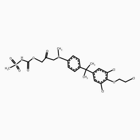 CN(CC(=O)COC(=O)NS(C)(=O)=O)c1ccc(C(C)(C)c2cc(Cl)c(OCCCl)c(Cl)c2)cc1